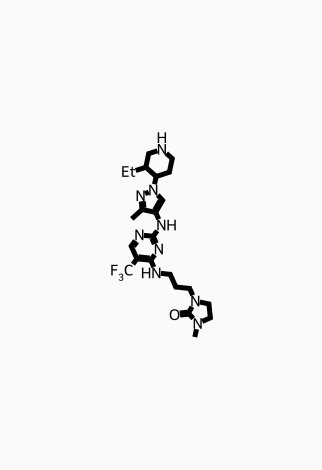 CCC1CNCCC1n1cc(Nc2ncc(C(F)(F)F)c(NCCCN3CCN(C)C3=O)n2)c(C)n1